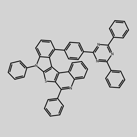 c1ccc(-c2nc(-c3ccccc3)nc(-c3ccc(-c4cccc5c4c4c6c(sc4n5-c4ccccc4)c(-c4ccccc4)nc4ccccc46)cc3)n2)cc1